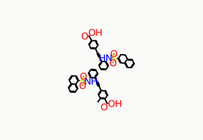 Cc1cc(C#Cc2ccccc2NS(=O)(=O)c2cccc3ccccc23)ccc1C(=O)O.O=C(O)c1ccc(C#Cc2ccccc2NS(=O)(=O)C2=Cc3ccccc3CC2)cc1